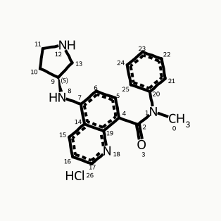 CN(C(=O)c1ccc(N[C@H]2CCNC2)c2cccnc12)c1ccccc1.Cl